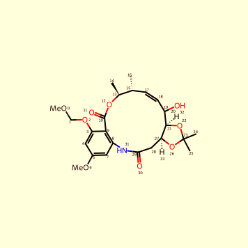 COCOc1cc(OC)cc2c1C(=O)O[C@@H](C)[C@H](C)/C=C\C(O)[C@H]1OC(C)(C)O[C@H]1CC(=O)N2